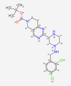 CC(C)(C)OC(=O)N1CCc2nc(C3CN(NCc4ccc(Cl)cc4Cl)CCN3)ncc2C1